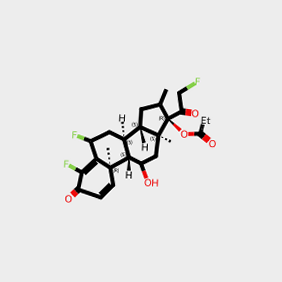 CCC(=O)O[C@]1(C(=O)CF)C(C)C[C@H]2[C@@H]3CC(F)C4=C(F)C(=O)C=C[C@]4(C)[C@H]3C(O)C[C@@]21C